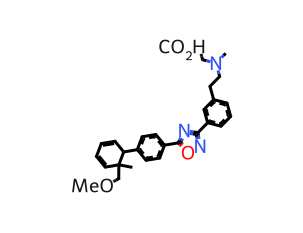 COCC1(C)C=CC=CC1c1ccc(-c2nc(-c3cccc(CCN(C)CC(=O)O)c3)no2)cc1